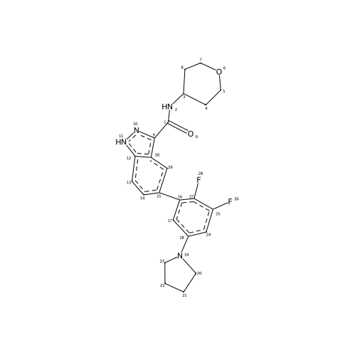 O=C(NC1CCOCC1)c1n[nH]c2ccc(-c3cc(N4CCCC4)cc(F)c3F)cc12